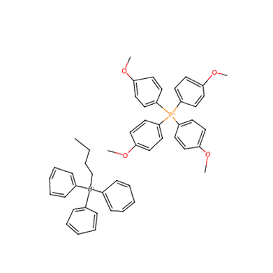 CCCC[B-](c1ccccc1)(c1ccccc1)c1ccccc1.COc1ccc([P+](c2ccc(OC)cc2)(c2ccc(OC)cc2)c2ccc(OC)cc2)cc1